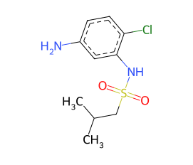 CC(C)CS(=O)(=O)Nc1cc(N)ccc1Cl